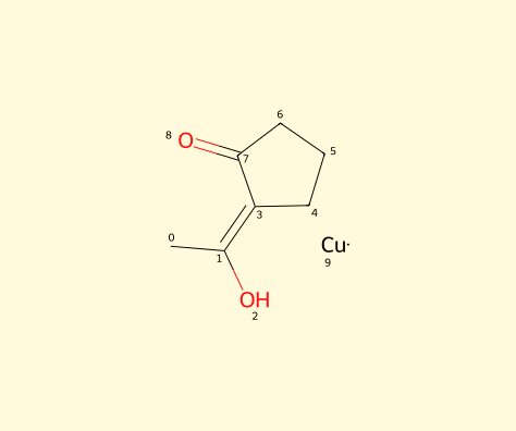 CC(O)=C1CCCC1=O.[Cu]